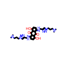 CN(C)CCCn1cc(CNc2ccc(O)c3c2C(=O)c2c(O)ccc(NCc4cn(CCCN(C)C)nn4)c2C3=O)nn1